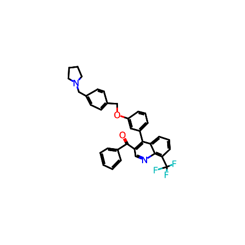 O=C(c1ccccc1)c1cnc2c(C(F)(F)F)cccc2c1-c1cccc(OCc2ccc(CN3CCCC3)cc2)c1